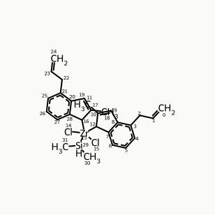 C=CCc1cccc2c1C=C(C)[CH]2[Zr]([Cl])([Cl])([CH]1C(C)=Cc2c(CC=C)cccc21)[SiH](C)C